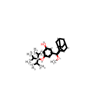 COC(=C1C2CC3CC(C2)CC1C3)c1cc(O)cc(O[Si](C(C)C)(C(C)C)C(C)C)c1